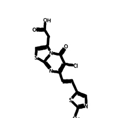 Cc1ncc(/C=C/c2nc3scc(CC(=O)O)n3c(=O)c2Cl)s1